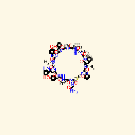 CC[C@H](C)[C@H]1C(=O)N(C)CC(=O)N[C@@H](CC(=O)O)C(=O)N[C@@H](C(C)C)C(=O)N(C)[C@@H](Cc2ccccc2)C(=O)N[C@@H](Cc2ccc(O)cc2)C(=O)N(C)CC(=O)N[C@@H](Cc2c[nH]c3ccccc23)C(=O)N[C@@H](Cc2ccc(O)cc2)C(=O)N[C@@H](CC(C)C)C(=O)N[C@H](C(=O)NCC(N)=O)CSCC(=O)N[C@@H](Cc2ccccc2)C(=O)N(C)[C@H]2Cc3cccc(c3)N1C2=O